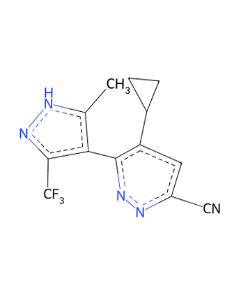 Cc1[nH]nc(C(F)(F)F)c1-c1nnc(C#N)cc1C1CC1